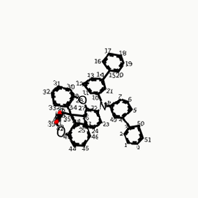 c1ccc(-c2cccc(N(c3cccc(-c4ccccc4)c3)c3cccc4c3Oc3ccccc3C43c4ccccc4Oc4ccccc43)c2)cc1